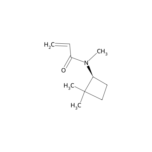 C=CC(=O)N(C)[C@H]1CCC1(C)C